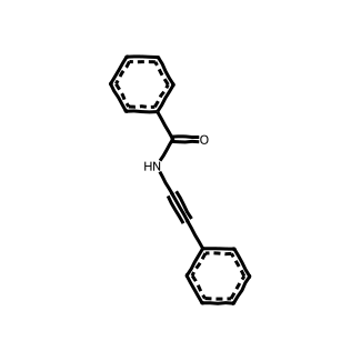 O=C(NC#Cc1ccccc1)c1ccccc1